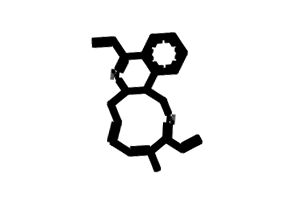 C=CC1=NC2C/C=C/C=C(C)\C(C=C)=N/CC2c2ccccc21